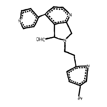 CC(C)c1ccc(CCN2Cc3nccc(-c4ccncc4)c3C2C=O)nc1